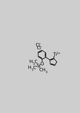 C[Si](C)(C)Oc1ccccc1C1=[C]([Ti+2])CC=C1.[Cl-].[Cl-]